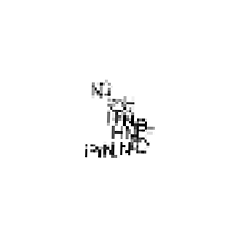 CC(C)N1CCN([C@H]2CCCC(F)(F)[C@@H]2NC(=O)N2C[C@H]3C[C@@H](c4cccnc4)C[C@H]3C2)CC1